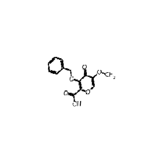 COc1coc(C(=O)O)c(OCc2ccccc2)c1=O